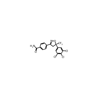 NC(=O)c1ccc(C2=NO[C@@](c3cc(Cl)c(Cl)c(Cl)c3)(C(F)(F)F)C2)cc1